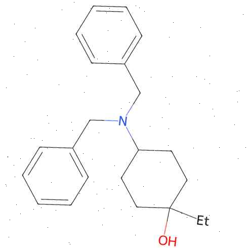 CCC1(O)CCC(N(Cc2ccccc2)Cc2ccccc2)CC1